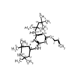 C=CCOc1nc(NC2CC(C)(C)NC(C)(C)C2)nc(NC(C)(C)CC(C)(C)C)n1